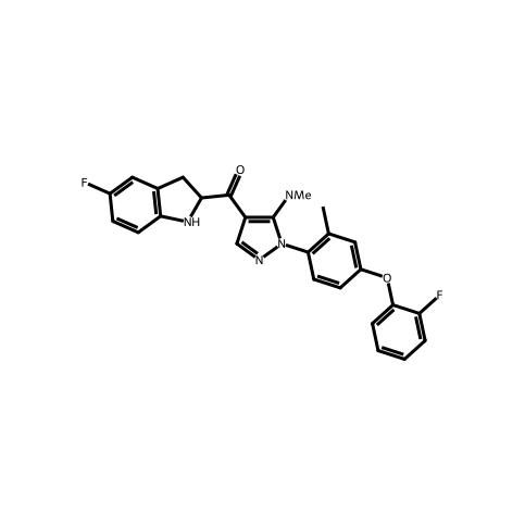 CNc1c(C(=O)C2Cc3cc(F)ccc3N2)cnn1-c1ccc(Oc2ccccc2F)cc1C